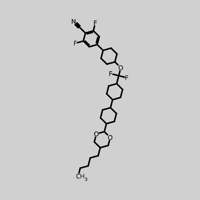 CCCCCC1COC(C2CCC(C3CCC(C(F)(F)OC4CCC(c5cc(F)c(C#N)c(F)c5)CC4)CC3)CC2)OC1